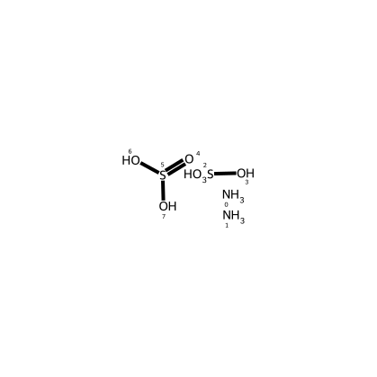 N.N.O=S(=O)(O)O.O=S(O)O